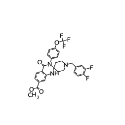 COC(=O)c1ccc2c(c1)NC1(CCN(Cc3ccc(F)c(F)c3)CC1)N(c1ccc(OC(F)(F)F)cc1)C2=O